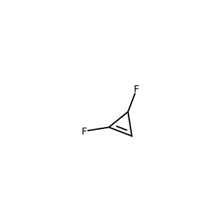 FC1=CC1F